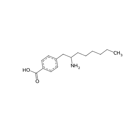 CCCCCCC(N)Cc1ccc(C(=O)O)cc1